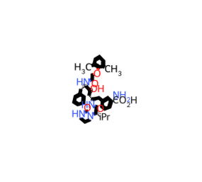 Cc1cccc(C)c1OCC(=O)N[C@@H](Cc1ccccc1)[C@@H](O)C[C@H](Cc1ccccc1)NC(=O)[C@H](C(C)C)N1CCCNC1=O.NC(=O)O